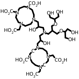 O=C(O)CN1CCN(CC(=O)O)CCN(C(=O)O)CCN(CC(O)CN(CC(O)CN2CCN(CC(=O)O)CCN(C(=O)O)CCN(C(=O)O)CC2)CC(COC(CO)CO)COC(CO)CO)CC1